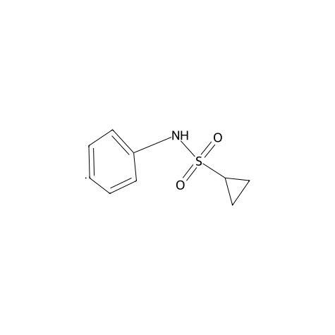 O=S(=O)(Nc1cc[c]cc1)C1CC1